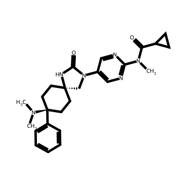 CN(C(=O)C1CC1)c1ncc(N2C[C@]3(CC[C@](c4ccccc4)(N(C)C)CC3)NC2=O)cn1